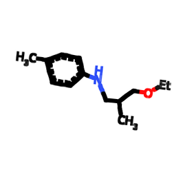 CCOCC(C)CNc1ccc(C)cc1